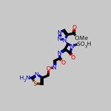 COC(=O)c1cnnn1[C@@H]1C(=NC(=O)C=NOCc2csc(N)n2)C(=O)N1S(=O)(=O)O